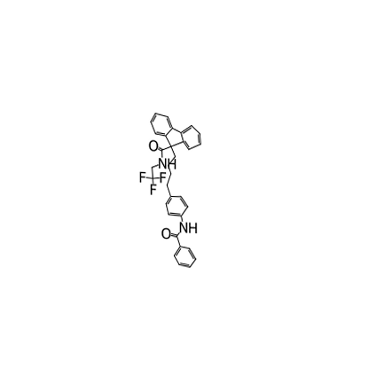 O=C(Nc1ccc(CCCCC2(C(=O)NCC(F)(F)F)c3ccccc3-c3ccccc32)cc1)c1ccccc1